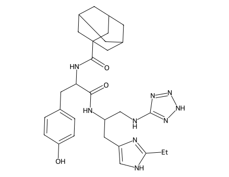 CCc1nc(CC(CNc2nn[nH]n2)NC(=O)C(Cc2ccc(O)cc2)NC(=O)C23CC4CC(CC(C4)C2)C3)c[nH]1